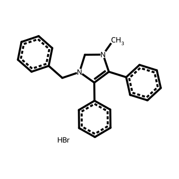 Br.CN1CN(Cc2ccccc2)C(c2ccccc2)=C1c1ccccc1